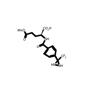 COC(=O)CC[C@H](NC(=O)c1ccc(C2(C(F)(F)F)NN2)cc1)C(=O)O